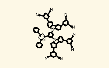 N#Cc1cc(C#N)cc(-c2ccc3c(c2)c2cc(-c4cc(C#N)cc(C#N)c4)ccc2n3-c2cc(-c3nc(-c4ccccc4)nc(-c4ccccc4)n3)cc(-n3c4ccc(-c5cc(C#N)cc(C#N)c5)cc4c4cc(-c5cc(C#N)cc(C#N)c5)ccc43)c2)c1